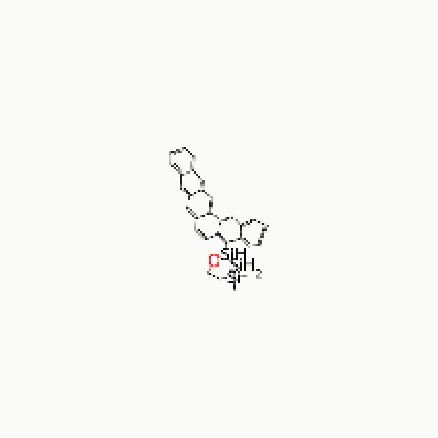 C[Si]1(C)CCO[SiH](c2c3ccccc3cc3c2ccc2cc4cc5ccccc5cc4cc23)[SiH2]1